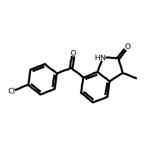 CC1C(=O)Nc2c(C(=O)c3ccc(Cl)cc3)cccc21